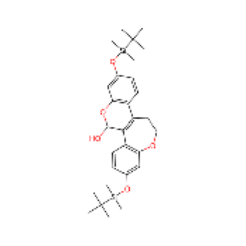 CC(C)(C)[Si](C)(C)Oc1ccc2c(c1)OC(O)C1=C2CCOc2cc(O[Si](C)(C)C(C)(C)C)ccc21